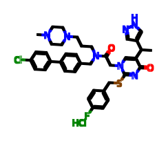 CC(c1cn[nH]c1)c1cn(CC(=O)N(CCCN2CCN(C)CC2)Cc2ccc(-c3ccc(Cl)cc3)cc2)c(SCc2ccc(F)cc2)nc1=O.Cl